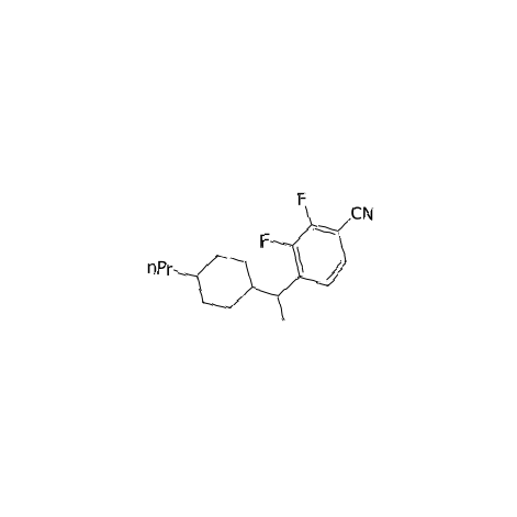 CCCC1CCC(C(C)c2ccc(C#N)c(F)c2F)CC1